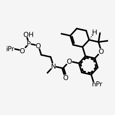 CCCc1cc(OC(=O)N(C)CCOP(O)OC(C)C)c2c(c1)OC(C)(C)[C@@H]1CCC(C)=CC21